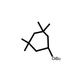 CC(C)COC1CC(C)(C)CC(C)(C)C1